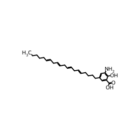 CCCCCC=CCC=CCC=CCC=CCCCCc1cc(N)c(O)c(C(=O)O)c1